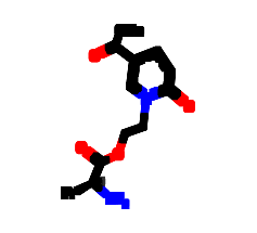 [CH2]OC(=O)c1ccc(=O)n(CCOC(=O)[C@@H](N)C(C)C)c1